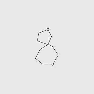 C1COCCC2(C1)CCOC2